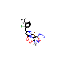 CCNC(=O)c1c(C(N)=O)sc2nc(Cc3cccc(C(F)(F)F)c3F)cc(=O)n12